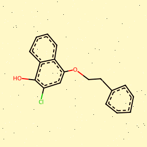 Oc1c(Cl)cc(OCCc2ccccc2)c2ccccc12